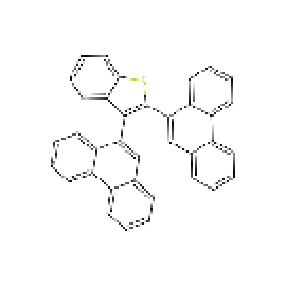 c1ccc2c(c1)cc(-c1sc3ccccc3c1-c1cc3ccccc3c3ccccc13)c1ccccc12